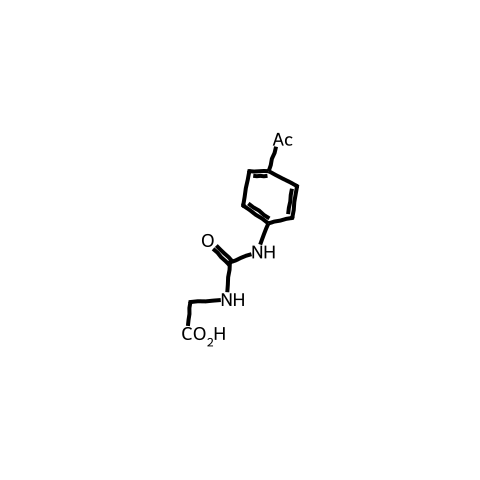 CC(=O)c1ccc(NC(=O)NCC(=O)O)cc1